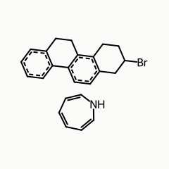 BrC1CCc2c(ccc3c2CCc2ccccc2-3)C1.C1=CC=CNC=C1